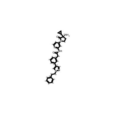 N[C@@]1(C2CC2)CCN(c2ccnc(NC(=O)Cc3cccc(-c4cnn(CCc5ccccc5)c4)c3)c2)C1=O